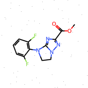 COC(=O)c1nc2n(n1)CCN2c1c(F)cccc1F